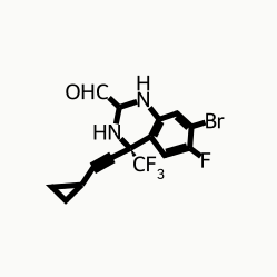 O=CC1Nc2cc(Br)c(F)cc2[C@](C#CC2CC2)(C(F)(F)F)N1